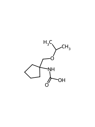 CC(C)OCC1(NC(=O)O)CCCC1